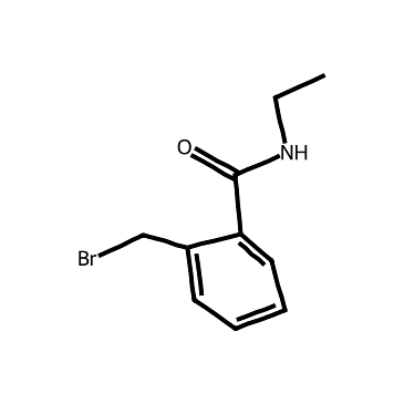 CCNC(=O)c1ccccc1CBr